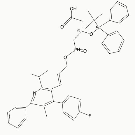 Cc1c(-c2ccccc2)nc(C(C)C)c(C=CCO[PH](=O)C[C@H](CC(=O)O)O[Si](c2ccccc2)(c2ccccc2)C(C)(C)C)c1-c1ccc(F)cc1